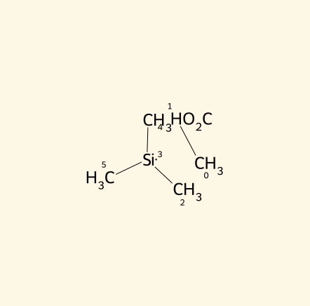 CC(=O)O.C[Si](C)C